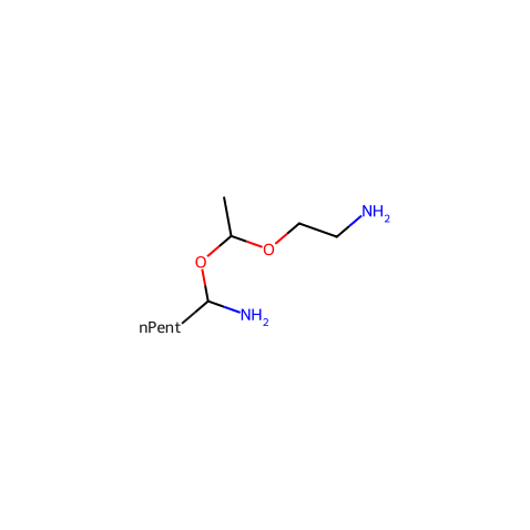 CCCCCC(N)OC(C)OCCN